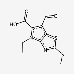 CCn1c(C(=O)O)c(C=O)c2sc(SC)nc21